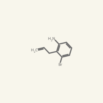 C=CCc1c(N)cccc1Br